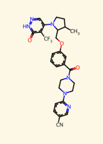 CC1CCN(c2cn[nH]c(=O)c2C(F)(F)F)C1COc1cccc(C(=O)N2CCN(c3ccc(C#N)cn3)CC2)c1